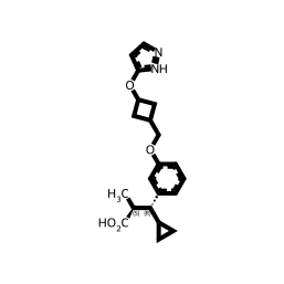 C[C@H](C(=O)O)[C@H](c1cccc(OCC2CC(Oc3ccn[nH]3)C2)c1)C1CC1